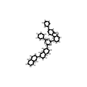 c1ccc(-c2ccc3c(c2)oc2cccc(-c4nc(-c5ccccc5)nc(-c5ccc6ccc(-c7ccc8ccccc8c7)cc6c5)n4)c23)cc1